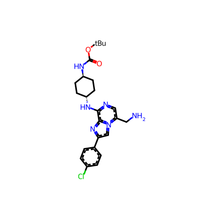 CC(C)(C)OC(=O)N[C@H]1CC[C@H](Nc2ncc(CN)n3cc(-c4ccc(Cl)cc4)nc23)CC1